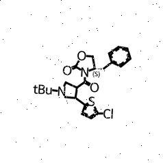 CC(C)(C)N1CC(C(=O)N2C(=O)OC[C@@H]2Cc2ccccc2)C(c2ccc(Cl)s2)C1